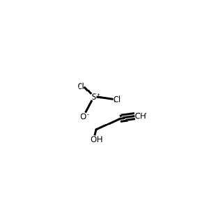 C#CCO.[O-][S+](Cl)Cl